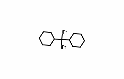 CC(C)C(C(C)C)(C1CCCCC1)C1CCCCC1